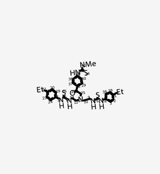 CCc1ccc(NC(=S)NCCN(CCNC(=S)Nc2ccc(CC)cc2)CC(=O)c2ccc(NC(=S)NC)cc2)cc1